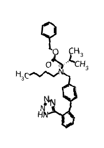 CCCCCN(Cc1ccc(-c2ccccc2-c2nnn[nH]2)cc1)[C@H](C(=O)OCc1ccccc1)C(C)C